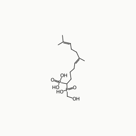 CC(C)=CCCC(C)=CCCCC(P(=O)(O)O)P(=O)(O)CO